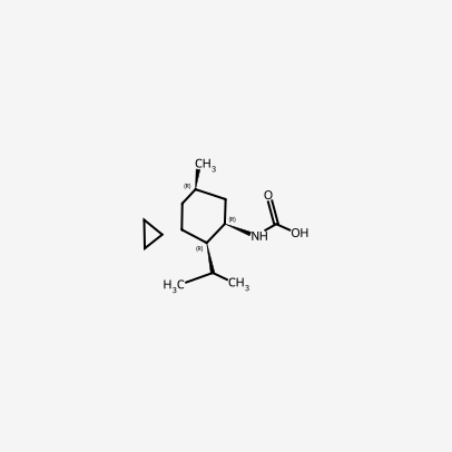 C1CC1.CC(C)[C@H]1CC[C@@H](C)C[C@H]1NC(=O)O